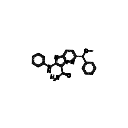 COC(c1ccccc1)c1ccc2nc(Nc3ccccc3)c(C(N)=O)n2n1